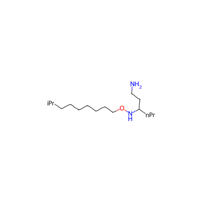 CCCC(CCN)NOCCCCCCCC(C)C